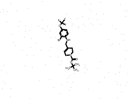 CC(C)(C)OC(=O)N1CC=C(CNc2ccc(OC(F)(F)F)cc2Br)CC1